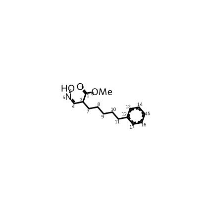 COC(=O)C(/C=N\O)CCCCCc1ccccc1